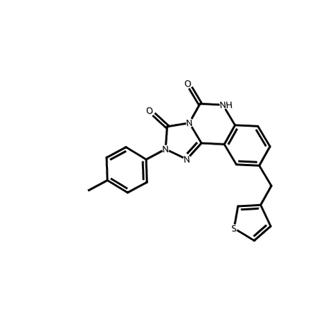 Cc1ccc(-n2nc3c4cc(Cc5ccsc5)ccc4[nH]c(=O)n3c2=O)cc1